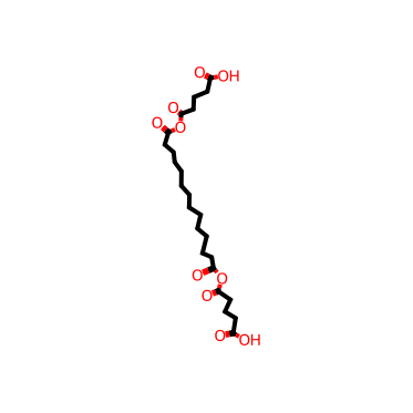 O=C(O)CCCC(=O)OC(=O)CCCCCCCCCCCCC(=O)OC(=O)CCCC(=O)O